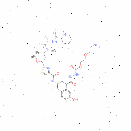 CCCO[C@H](C[C@H](C(C)C)N(CCC)C(=O)[C@@H](NC(=O)[C@H]1CCCCN1C)[C@@H](C)CC)c1nc(C(=O)N[C@H]2Cc3ccc(O)cc3[C@H](C(=O)NNC(=O)OCCOCCN)C2)cs1